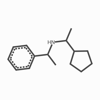 CC(NC(C)C1CCCC1)c1ccccc1